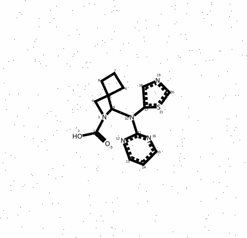 O=C(O)N1CC2(CCC2)C1N(c1ncccn1)c1cncs1